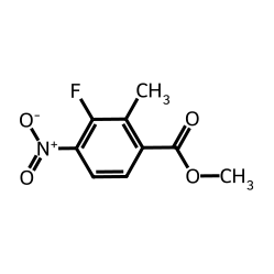 COC(=O)c1ccc([N+](=O)[O-])c(F)c1C